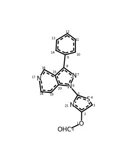 O=COc1csc(-n2nc(-c3ccccc3)c3cnccc32)n1